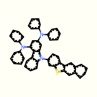 c1ccc(N(c2ccccc2)c2cc(N(c3ccccc3)c3ccccc3)c3c4ccccc4n(-c4ccc5c(c4)sc4cc6ccccc6cc45)c3c2)cc1